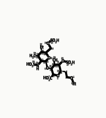 CCOCC[C@@H]1OC(C(=O)O)[C@H](O[C@@H]2OC(COS(=O)(=O)O)[C@@H](CC)[C@@H](C)C2NS(=O)(=O)O)[C@@H](C)C1OS(=O)(=O)O